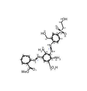 COC(=O)c1ccccc1/N=N/c1cc(S(=O)(=O)O)c(N)c(/N=N/c2ccc(S(=O)(=O)CCO)cc2CO)c1N